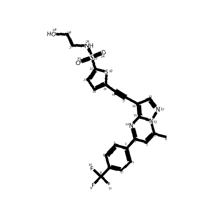 Cc1cc(-c2ccc(C(F)(F)F)cc2)nc2c(C#Cc3ccc(S(=O)(=O)NCCO)s3)cnn12